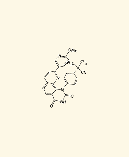 COc1ccc(-c2ccc3ncc4c(=O)[nH]c(=O)n(-c5ccc(C(C)(C)C#N)cc5)c4c3n2)cn1